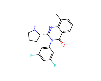 Cc1cccc2c(=O)n(-c3cc(F)cc(F)c3)c([C@@H]3CCCN3)nc12